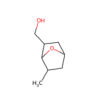 CC1CC2CC(CO)C1O2